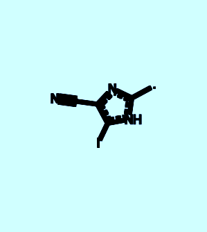 [CH2]c1nc(C#N)c(I)[nH]1